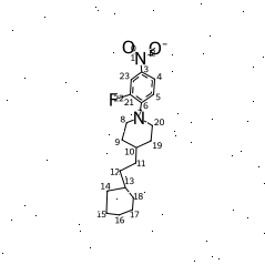 O=[N+]([O-])c1ccc(N2CCC(CCC3CCCCC3)CC2)c(F)c1